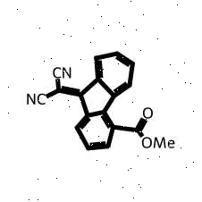 COC(=O)c1cccc2c1-c1ccccc1C2=C(C#N)C#N